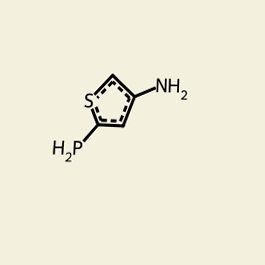 Nc1csc(P)c1